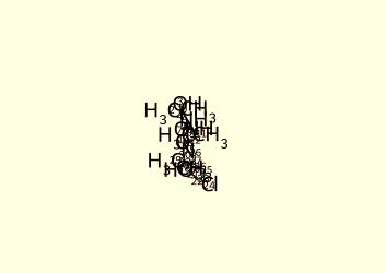 CC(C)(O)CNC(=O)NC(C)(C)CC(=O)N1CC[C@](O)(c2ccc(Cl)cc2)C(C)(C)C1